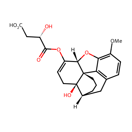 COc1ccc2c3c1O[C@H]1C(OC(=O)[C@@H](O)CC(=O)O)=CC[C@@]4(O)[C@H](CCC[C@]314)C2